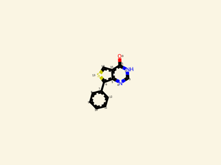 O=c1[nH]cnc2c(-c3ccccc3)scc12